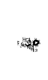 Cl.N[C@H](CSC(F)(F)F)C(=O)Nc1ccccc1